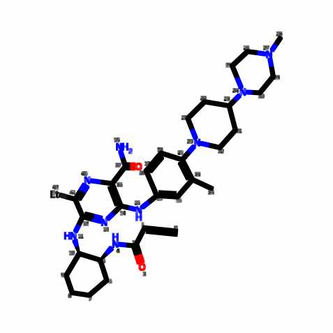 C=CC(=O)N[C@H]1CCCC[C@H]1Nc1nc(Nc2ccc(N3CCC(N4CCN(C)CC4)CC3)c(C)c2)c(C(N)=O)nc1CC